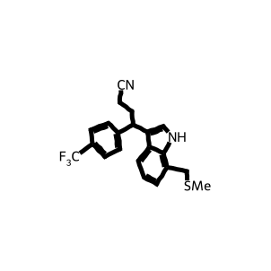 CSCc1cccc2c(C(CCC#N)c3ccc(C(F)(F)F)cc3)c[nH]c12